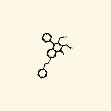 CC(C)Cn1c(CO)c(-c2ccccc2)c2ccc(OCc3ccccc3)cc2c1=O